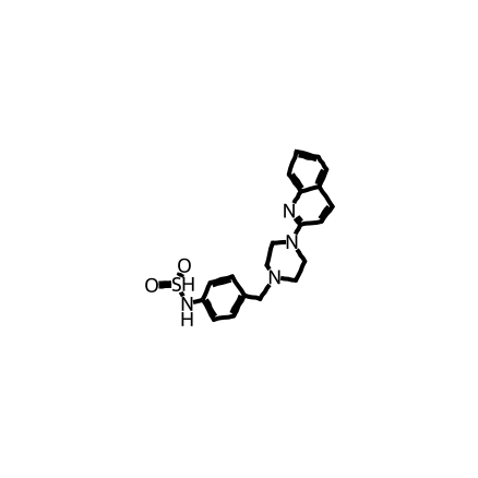 O=[SH](=O)Nc1ccc(CN2CCN(c3ccc4ccccc4n3)CC2)cc1